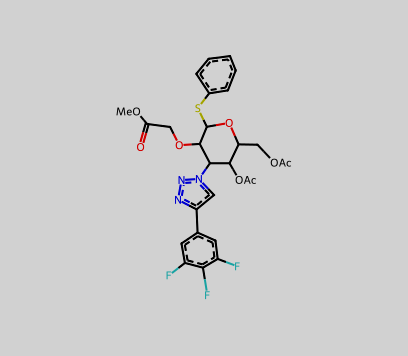 COC(=O)COC1C(Sc2ccccc2)OC(COC(C)=O)C(OC(C)=O)C1n1cc(-c2cc(F)c(F)c(F)c2)nn1